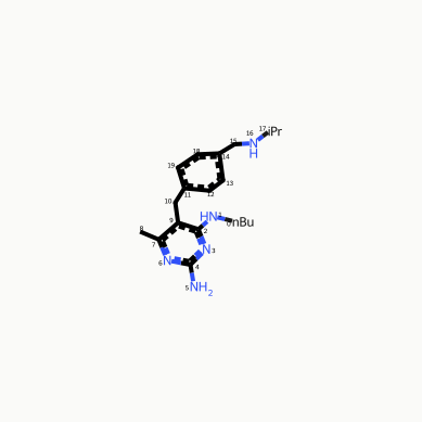 CCCCNc1nc(N)nc(C)c1Cc1ccc(CNC(C)C)cc1